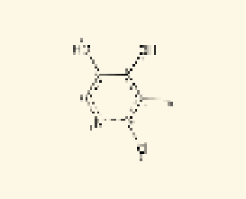 Cc1c(Cl)ncc(O)c1O